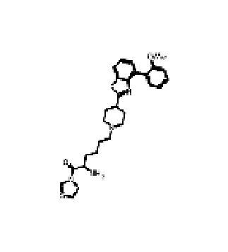 COc1ccccc1-c1cccc2sc(C3CCN(CCCCC(N)C(=O)N4CCSC4)CC3)nc12